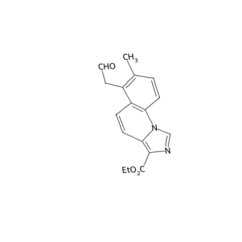 CCOC(=O)c1ncn2c1ccc1c(CC=O)c(C)ccc12